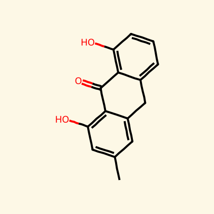 Cc1cc(O)c2c(c1)Cc1cccc(O)c1C2=O